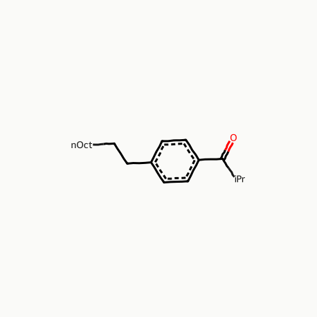 CCCCCCCCCCc1ccc(C(=O)C(C)C)cc1